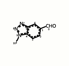 O=Cc1ccc2c(c1)nnn2I